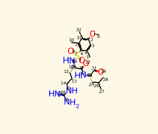 COc1cc(C)c(S(=O)(=O)N[C@@H](CCCNC(=N)N)C(=O)N[C@H](C=O)CC(C)C)c(C)c1C